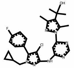 Cc1nn(-c2cc(Nc3nn(CC4CC4)c(-c4ccc(F)cc4)c3Cl)ncn2)c(C)c1C(C)(C)O